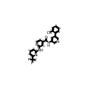 O=C(Nc1cncc(-c2ccccc2Cl)c1)c1ccnc(Nc2cccc(C(F)(F)F)n2)c1